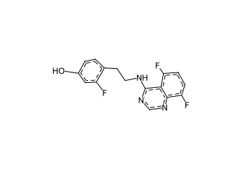 Oc1ccc(CCNc2ncnc3c(F)ccc(F)c23)c(F)c1